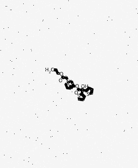 C=CCOC(=O)C[N+]12CCC(CC1)C(OC(=O)C(O)(c1cccs1)c1cccs1)C2